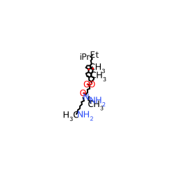 CCC(CCCC1CCC2C3CC=C4CC(OC(=O)CCCC(=O)N(CCCCCCCC(C)N)CCC(C)N)CCC4(C)C3CCC12C)C(C)C